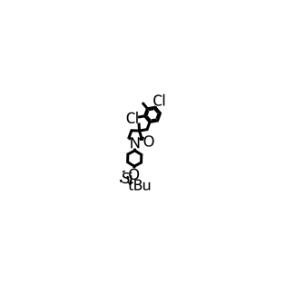 Cc1c(Cl)ccc(CC2(C)CCN(C3CCC(O[Si](C)(C)C(C)(C)C)CC3)C2=O)c1Cl